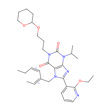 C/C=C(\C=C/CC)Cn1c(-c2cccnc2OCC)nc2c1c(=O)n(CCCOC1CCCCO1)c(=O)n2C(C)C